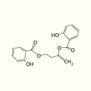 C=C(CCOC(=O)c1ccccc1O)OC(=O)c1ccccc1O